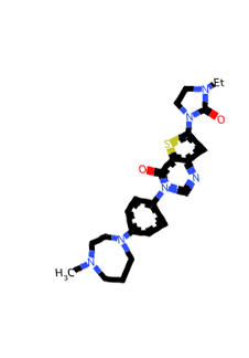 CCN1CCN(c2cc3ncn(-c4ccc(N5CCCN(C)CC5)cc4)c(=O)c3s2)C1=O